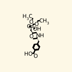 CCOC(OCC)P(=O)(O)C[C@H]1CN[C@H](Cc2ccc(C(=O)O)cc2)CO1